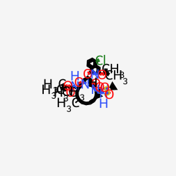 CC(C)Oc1cc2c(Cl)cccc2c(O[C@@H]2C[C@H]3C(=O)N[C@]4(C(=O)NS(=O)(=O)C5CC5)CC4/C=C\CC[C@@H](C)C[C@@H](C)[C@H](NC(=O)OC(C)(C)C)C(=O)N3C2)n1